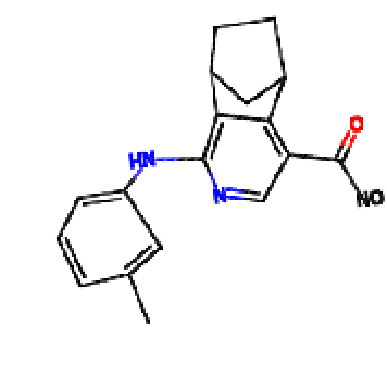 Cc1cccc(Nc2ncc(C(=O)N=O)c3c2C2CCC3C2)c1